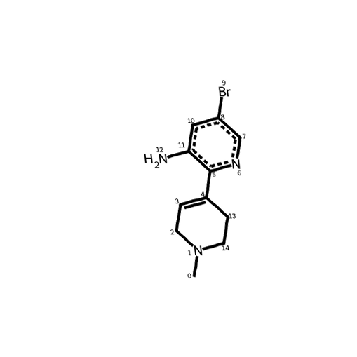 CN1CC=C(c2ncc(Br)cc2N)CC1